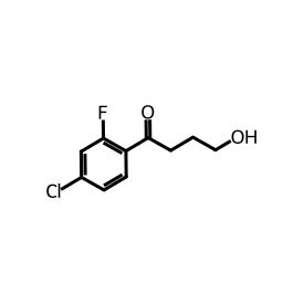 O=C(CCCO)c1ccc(Cl)cc1F